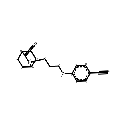 C#Cc1ccc(OCCCN2C(=O)C3CCC2CC3)cc1